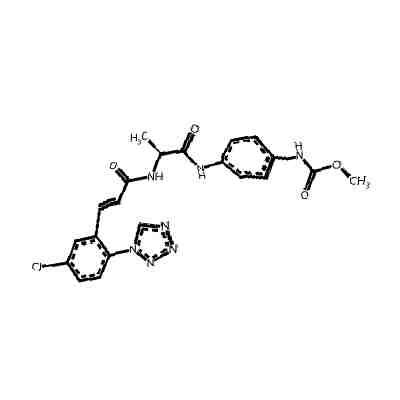 COC(=O)Nc1ccc(NC(=O)[C@H](C)NC(=O)C=Cc2cc(Cl)ccc2-n2cnnn2)cc1